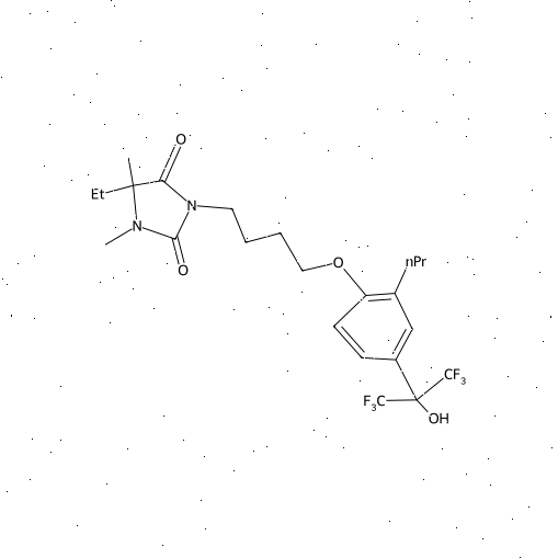 CCCc1cc(C(O)(C(F)(F)F)C(F)(F)F)ccc1OCCCCN1C(=O)N(C)C(C)(CC)C1=O